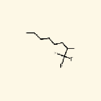 CCCCCCC(C)C(F)(F)F